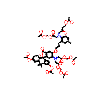 CC(=O)OCCC(=O)CN(CC(=O)OCOC(C)=O)c1ccc(C)cc1CCCOc1cc2c(cc1N(CC(=O)OCOC(C)=O)CC(=O)OCOC(C)=O)C1(OC2=O)c2ccc(OC(C)=O)cc2C(C)(C)c2cc(OC(C)=O)ccc21